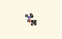 c1ccc(-c2nc(-c3cccc4c3Oc3ccc5c(c3O4)-c3ccccc3C5(c3ccccc3)c3ccccc3)nc(-c3cccc4ccccc34)n2)cc1